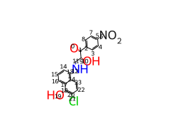 O=C(c1ccc([N+](=O)[O-])cc1)C(O)CNc1cccc2c(O)c(Cl)ccc12